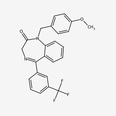 COc1ccc(CN2C(=O)CN=C(c3cccc(C(F)(F)F)c3)c3ccccc32)cc1